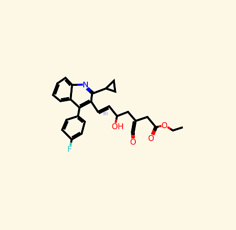 CCOC(=O)CC(=C=O)CC(O)/C=C/c1c(C2CC2)nc2ccccc2c1-c1ccc(F)cc1